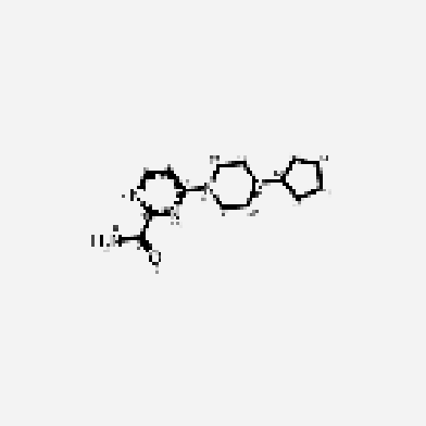 NC(=O)c1nccc(N2CCN(C3CCCC3)CC2)n1